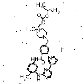 CCC(C)OC(=O)OC[N+]1(C)CCN(Cc2ccc(C(=O)Nc3ccc(C)c(Nc4nccc(-c5cccnc5)n4)c3)cc2)CC1.[I-]